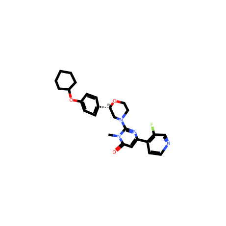 Cn1c(N2CCO[C@@H](c3ccc(OC4CCCCC4)cc3)C2)nc(-c2ccncc2F)cc1=O